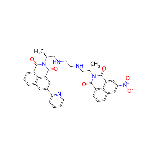 C[C@@H](CNCCNC[C@H](C)N1C(=O)c2cccc3cc([N+](=O)[O-])cc(c23)C1=O)N1C(=O)c2cccc3cc(-c4ccccn4)cc(c23)C1=O